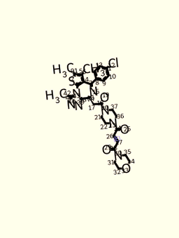 Cc1sc2c(c1C)C(c1ccc(Cl)cc1)=N[C@@H](CC(=O)N1CCN(C(=O)/C=C/C(=O)N3CCOCC3)CC1)c1nnc(C)n1-2